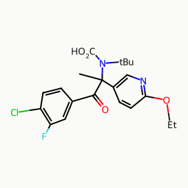 CCOc1ccc(C(C)(C(=O)c2ccc(Cl)c(F)c2)N(C(=O)O)C(C)(C)C)cn1